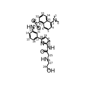 CN(C)c1cccc2c(S(=O)(=O)Nc3cccc(-c4csc(NC(=O)CNCCO)n4)c3)cccc12